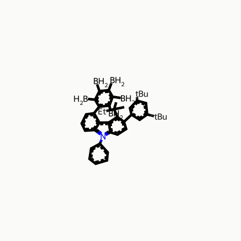 Bc1c(B)c(B)c(-c2cccc3c2c2c(C(C)(C)CC)c(-c4cc(C(C)(C)C)cc(C(C)(C)C)c4)ccc2n3-c2ccccc2)c(B)c1B